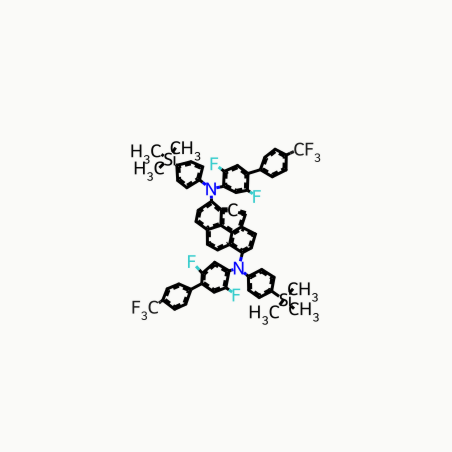 C[Si](C)(C)c1ccc(N(c2cc(F)c(-c3ccc(C(F)(F)F)cc3)cc2F)c2ccc3ccc4c(N(c5ccc([Si](C)(C)C)cc5)c5cc(F)c(-c6ccc(C(F)(F)F)cc6)cc5F)ccc5ccc2c3c54)cc1